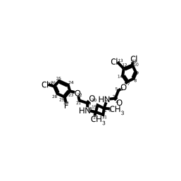 CC1(NC(=O)COc2ccc(Cl)c(Cl)c2)CC(C)(NC(=O)COc2ccc(Cl)cc2F)C1